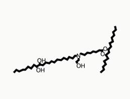 CCCCCCCCC(CCCCCCCC)OC(=O)CCCCCCCN(CCO)CCCCCCCCCCCCC(O)C(O)CCCCCCCC